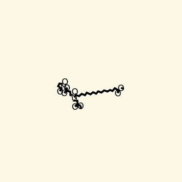 COC(=O)CCCCCCCCCCCCCCC(=O)N(CCC(=O)OC)CCC(=O)ON1C(=O)CCC1=O